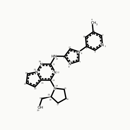 Cc1cncc(-n2cnc(Nc3nc(N4CCC[C@H]4CO)c4cccn4n3)c2)c1